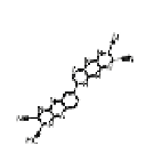 C#Cc1nc2nc3ccc(-c4cnc5nc6nc(C#N)c(C#N)nc6nc5n4)cc3nc2nc1C#N